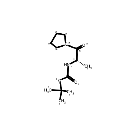 C[C@H](NC(=O)OC(C)(C)C)C(=O)N1CCCC1